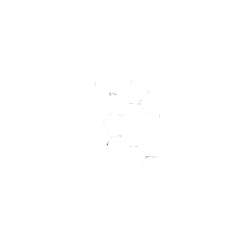 CC/C(=N/O)S[C@@H]1OC(COC(C)=O)[C@@H](C)[C@H](C)C1OC(C)=O